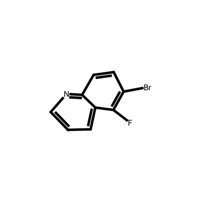 Fc1c(Br)ccc2ncccc12